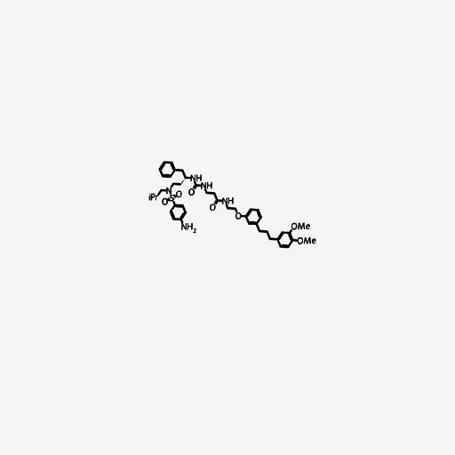 COc1ccc(CCCc2cccc(OCCNC(=O)CCNC(=O)N[C@H](CCN(CC(C)C)S(=O)(=O)c3ccc(N)cc3)Cc3ccccc3)c2)cc1OC